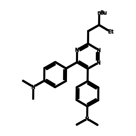 CCCCC(CC)Cc1nnc(-c2ccc(N(C)C)cc2)c(-c2ccc(N(C)C)cc2)n1